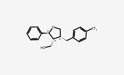 OC[C@H]1[C@@H](Cc2ccc(C(F)(F)F)cc2)CO[C@@H]1c1ccccc1